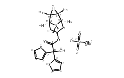 Br.C[N+]1(C)[C@@H]2CC(OC(=O)C(O)(c3cccs3)c3cccs3)C[C@H]1[C@@H]1O[C@@H]12.O=S(=O)([O-])C(F)(F)F